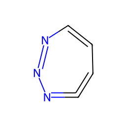 C1=CC=CN=NN=1